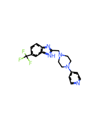 FC(F)(F)c1ccc2nc(CN3CCN(c4ccncc4)CC3)[nH]c2c1